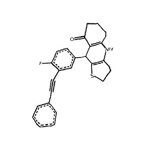 O=C1CCCC2=C1C(c1ccc(F)c(C#Cc3ccccc3)c1)C1=C(CCS1)N2